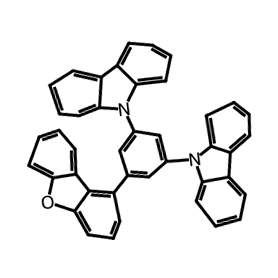 c1ccc2c(c1)oc1cccc(-c3cc(-n4c5ccccc5c5ccccc54)cc(-n4c5ccccc5c5ccccc54)c3)c12